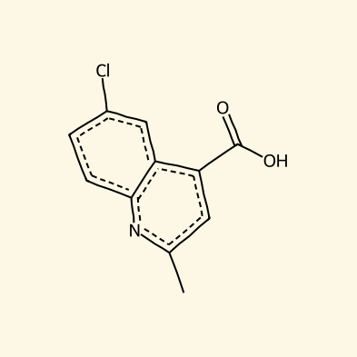 Cc1cc(C(=O)O)c2cc(Cl)ccc2n1